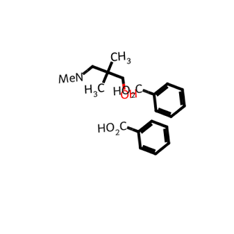 CNCC(C)(C)CO.O=C(O)c1ccccc1.O=C(O)c1ccccc1